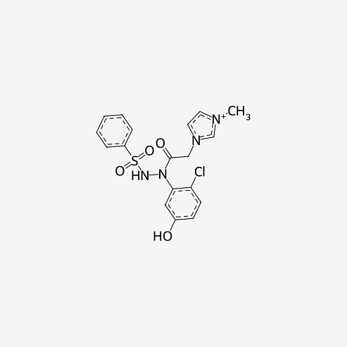 C[n+]1ccn(CC(=O)N(NS(=O)(=O)c2ccccc2)c2cc(O)ccc2Cl)c1